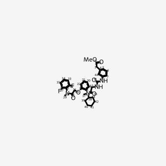 COC(=O)Cc1cccc(NC(=O)NCC(=O)[N+](C)(c2ccccc2OCC(=O)N(C)c2c(F)cccc2F)C2CCCCC2)c1